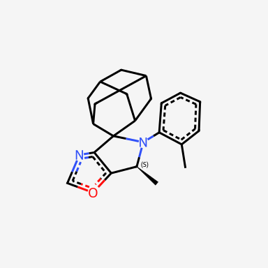 Cc1ccccc1N1[C@@H](C)c2ocnc2C12C1CC3CC(C1)CC2C3